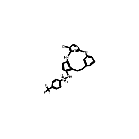 O=S(=O)(Nc1ccc2cc1CCc1cccc(c1)Nc1ncc(Cl)c(n1)N2)c1ccc(C(F)(F)F)cc1